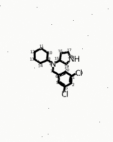 Clc1cc(Cl)cc(CN(C2CCCCC2)C2CCNC2)c1